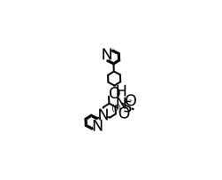 CS(=O)(=O)N[C@H]1CCN(c2ccccn2)CC1COC1CCC(c2cccnc2)CC1